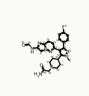 Cn1nc(-c2ccc(F)cc2)c(-c2ccc3nc(NC=O)cn3n2)c1C1CCN(CC(N)=O)CC1